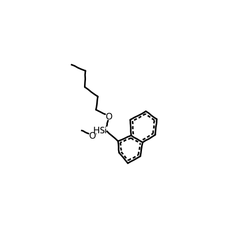 CCCCCO[SiH](OC)c1cccc2ccccc12